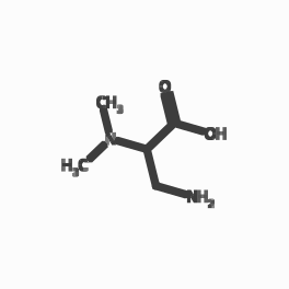 CN(C)C(CN)C(=O)O